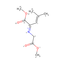 COC(=O)C/N=C(\C=C(C)C)C(=O)OC